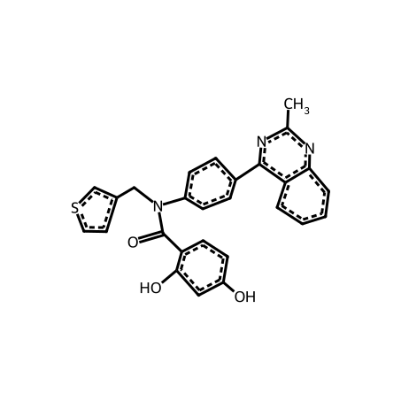 Cc1nc(-c2ccc(N(Cc3ccsc3)C(=O)c3ccc(O)cc3O)cc2)c2ccccc2n1